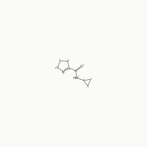 O=C(NC1CC1)C1=NO[CH]C1